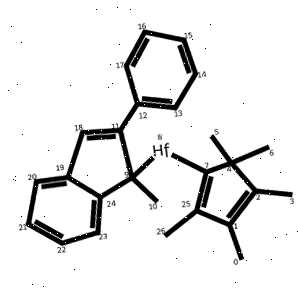 CC1=C(C)C(C)(C)[C]([Hf][C]2(C)C(c3ccccc3)=Cc3ccccc32)=C1C